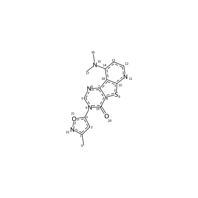 Cc1cc(-n2cnc3c(sc4nccc(N(C)C)c43)c2=O)on1